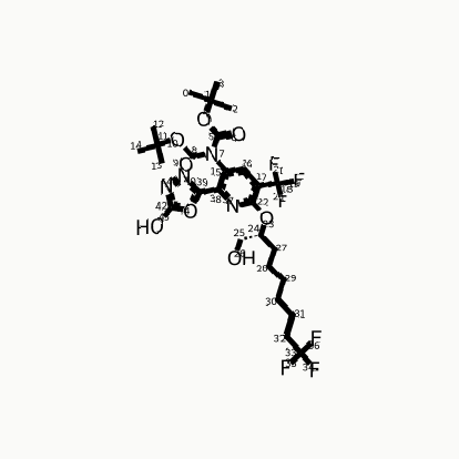 CC(C)(C)OC(=O)N(C(=O)OC(C)(C)C)c1cc(C(F)(F)F)c(O[C@@H](CO)CCCCCCC(F)(F)F)nc1-c1nnc(O)o1